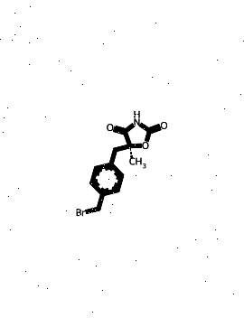 C[C@@]1(Cc2ccc(CBr)cc2)OC(=O)NC1=O